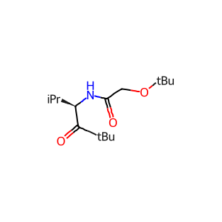 CC(C)[C@@H](NC(=O)COC(C)(C)C)C(=O)C(C)(C)C